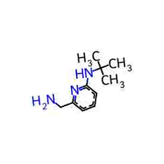 CC(C)(C)Nc1cccc(CN)n1